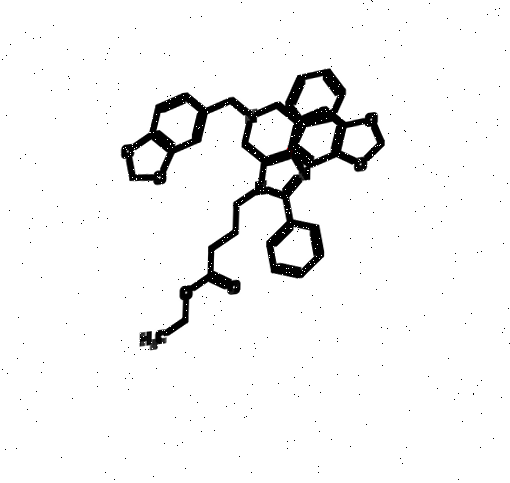 CCOC(=O)CCCn1c(-c2ccccc2)nc(-c2ccccc2)c1CN(Cc1ccc2c(c1)OCO2)Cc1ccc2c(c1)OCO2